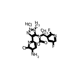 C[C@H](c1cc(F)cnc1F)N(C(=O)O)c1c(-c2ccc(N)c(Cl)n2)nnn1C.Cl